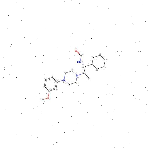 COc1cccc(N2CCN(C(C)[C@H](NC=O)C3CCCCC3)CC2)c1